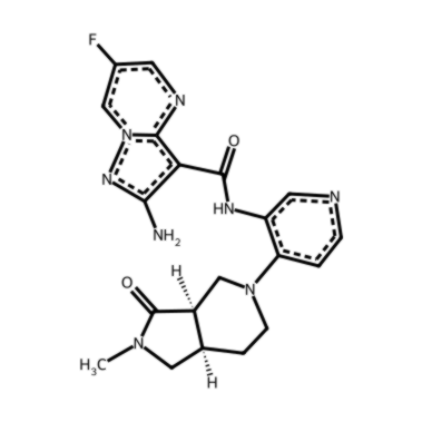 CN1C[C@@H]2CCN(c3ccncc3NC(=O)c3c(N)nn4cc(F)cnc34)C[C@@H]2C1=O